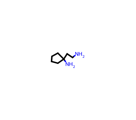 NCCC1(N)CCCC1